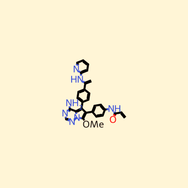 C=CC(=O)Nc1ccc(-c2c(-c3ccc(C(=C)Nc4ccccn4)cc3)c3c(N)ncnn3c2OC)cc1